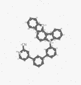 N#Cc1cc(-c2cccc(-c3cccc(-n4c5ccccc5c5c6oc7ccccc7c6ccc54)c3)c2)ccn1